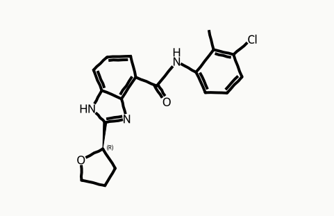 Cc1c(Cl)cccc1NC(=O)c1cccc2[nH]c([C@H]3CCCO3)nc12